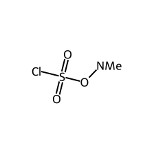 CNOS(=O)(=O)Cl